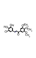 COc1cc(C(=O)/C=C/c2cc(O)c(O)c(Cl)c2)cc(OC)c1OC